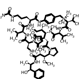 CC[C@H](C)[C@@H]([C@H](CC(=O)N1CCC[C@H]1[C@H](OC)[C@@H](C)C(=O)N[C@H](C)[C@H](O)c1ccccc1)OC)N(C)C(=O)[C@@H](NC(=O)[C@H](C(C)C)[N+](C)(C)Cc1ccc(NC(=O)[C@H](CCCNC(N)=O)NC(=O)[C@@H](NC(=O)[C@H](CN)N2C(=O)C=CC2=O)C(C)C)cc1)C(C)C